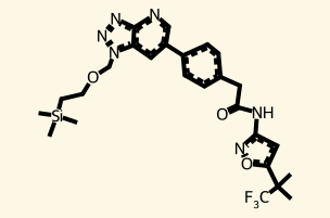 CC(C)(c1cc(NC(=O)Cc2ccc(-c3cnc4nnn(COCC[Si](C)(C)C)c4c3)cc2)no1)C(F)(F)F